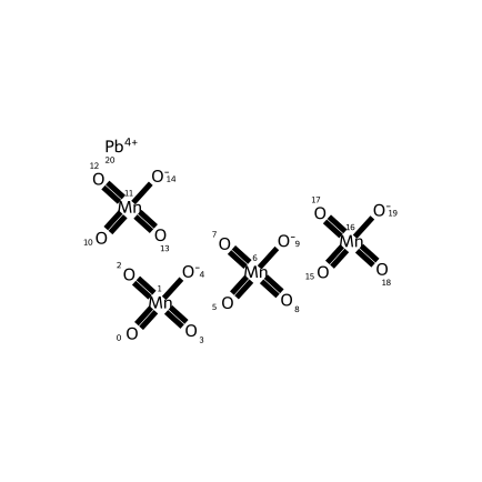 [O]=[Mn](=[O])(=[O])[O-].[O]=[Mn](=[O])(=[O])[O-].[O]=[Mn](=[O])(=[O])[O-].[O]=[Mn](=[O])(=[O])[O-].[Pb+4]